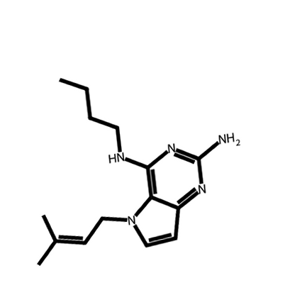 CCCCNc1nc(N)nc2ccn(CC=C(C)C)c12